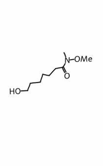 CON(C)C(=O)CCCCCCO